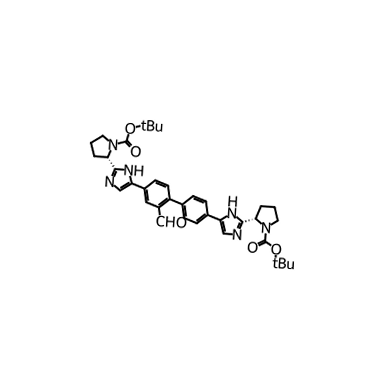 CC(C)(C)OC(=O)N1CCC[C@H]1c1ncc(-c2ccc(-c3ccc(-c4cnc([C@@H]5CCCN5C(=O)OC(C)(C)C)[nH]4)cc3C=O)cc2)[nH]1